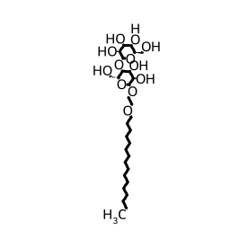 CCCCCCCCCCCCCCCCOCCO[C@H]1O[C@H](CO)[C@@H](O[C@@H]2O[C@H](CO)[C@@H](O)[C@H](O)[C@H]2O)[C@H](O)[C@H]1O